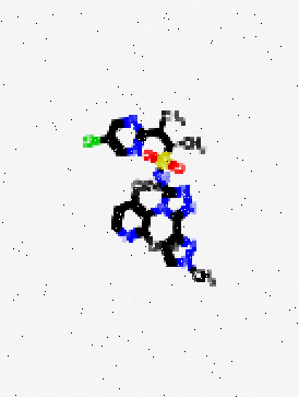 COc1ccnc(OC)c1-n1c(NS(=O)(=O)[C@@H](C)[C@H](C)c2ncc(Cl)cn2)nnc1-c1ccn(C)n1